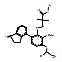 COc1c(OC(O)O)ccc(-c2cccc3c2CCC3=O)c1OCC(C)(C)C(=O)OC(C)C